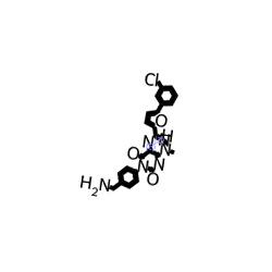 C/N=C(\N=C1\C(=O)N(c2ccc(CN)cc2)C(=O)N=C1NC)c1ccc(-c2cccc(Cl)c2)o1